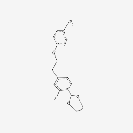 Fc1cc(CCOc2ccc(C(F)(F)F)cc2)ccc1C1OCCO1